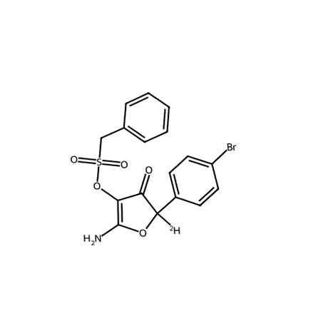 [2H]C1(c2ccc(Br)cc2)OC(N)=C(OS(=O)(=O)Cc2ccccc2)C1=O